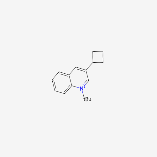 CC(C)(C)[n+]1cc(C2CCC2)cc2ccccc21